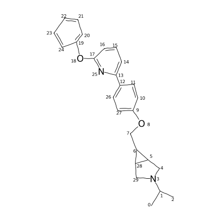 CC(C)N1CC2C(COc3ccc(-c4cccc(Oc5ccccc5)n4)cc3)C2C1